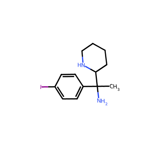 CC(N)(c1ccc(I)cc1)C1CCCCN1